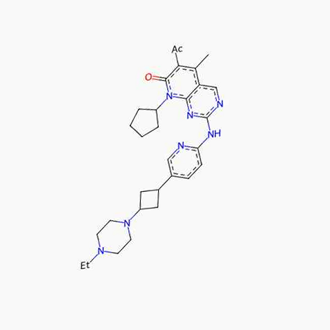 CCN1CCN(C2CC(c3ccc(Nc4ncc5c(C)c(C(C)=O)c(=O)n(C6CCCC6)c5n4)nc3)C2)CC1